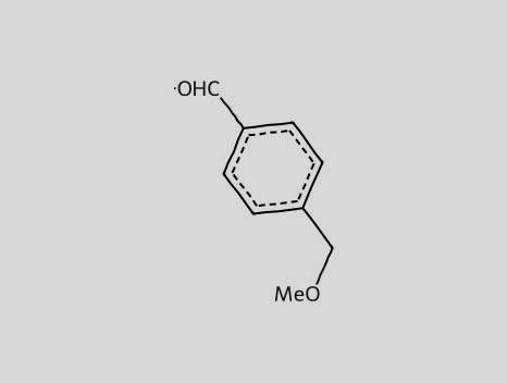 COCc1ccc([C]=O)cc1